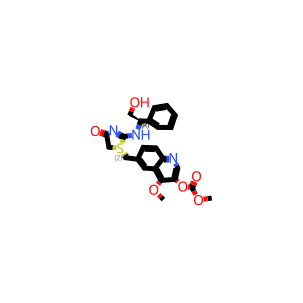 COC(=O)Oc1cnc2ccc(/C=S3/CC(=O)N=C3N[C@@H](CO)c3ccccc3)cc2c1OC